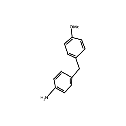 COc1ccc(Cc2[c]cc(N)cc2)cc1